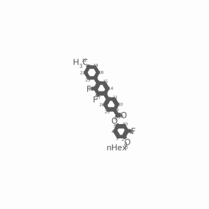 CCCCCCOc1ccc(OC(=O)c2ccc(-c3ccc(C4CCC(C)CC4)c(F)c3F)cc2)cc1F